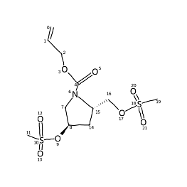 C=CCOC(=O)N1C[C@H](OS(C)(=O)=O)C[C@H]1COS(C)(=O)=O